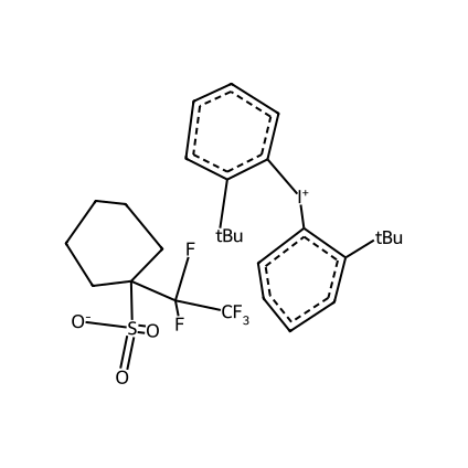 CC(C)(C)c1ccccc1[I+]c1ccccc1C(C)(C)C.O=S(=O)([O-])C1(C(F)(F)C(F)(F)F)CCCCC1